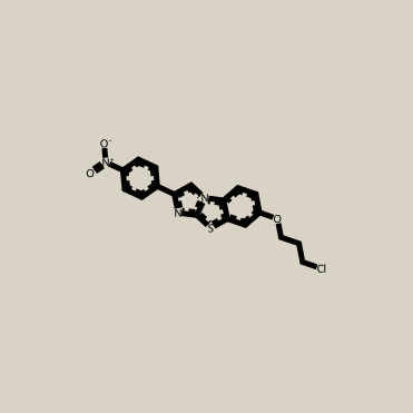 O=[N+]([O-])c1ccc(-c2cn3c(n2)sc2cc(OCCCCl)ccc23)cc1